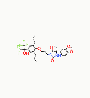 CCCc1cc(C(O)(C(F)F)C(F)(F)F)cc(CCC)c1OCCCN1C(=O)NC(CC)(c2ccc3c(c2)OCO3)C1=O